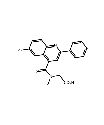 CC(C)c1ccc2nc(-c3ccccc3)cc(C(=S)N(C)CC(=O)O)c2c1